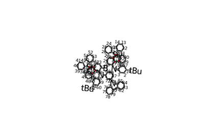 CC(C)(C)c1ccc(N2c3cc([Si](c4ccccc4)(c4ccccc4)c4ccccc4)ccc3B3c4ccc([Si](c5ccccc5)(c5ccccc5)c5ccccc5)cc4N(c4ccc(C(C)(C)C)cc4-c4ccccc4)c4cc(-n5c6ccccc6c6ccccc65)cc2c43)c(-c2ccccc2)c1